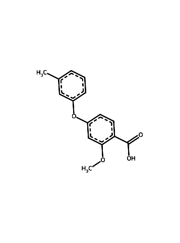 COc1cc(Oc2cccc(C)c2)ccc1C(=O)O